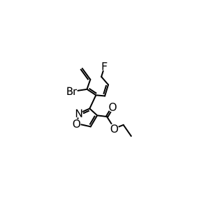 C=C/C(Br)=C(\C=C/CF)c1nocc1C(=O)OCC